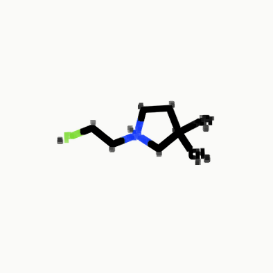 CC(C)C1(C)CCN(CCF)C1